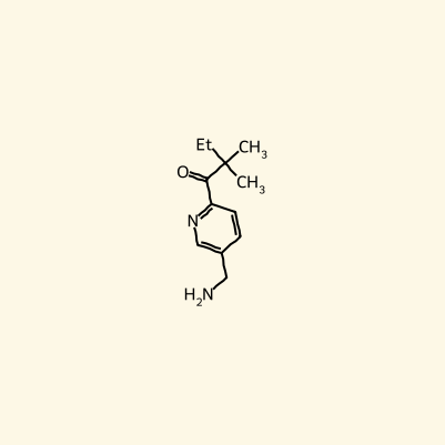 CCC(C)(C)C(=O)c1ccc(CN)cn1